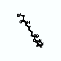 O=C(CBr)NCCCCCC(=O)On1ccnn1